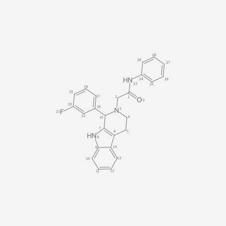 O=C(CN1CCc2c([nH]c3ccccc23)C1c1cccc(F)c1)Nc1ccccc1